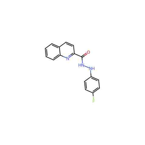 O=C(NNc1ccc(F)cc1)c1ccc2ccccc2n1